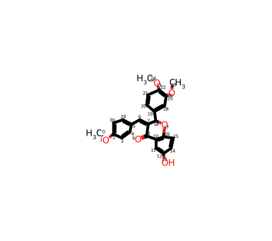 COc1ccc(C=C2C(=O)c3cc(O)ccc3OC2c2ccc(OC)c(OC)c2)cc1